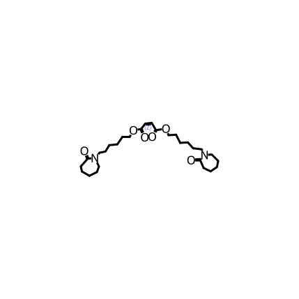 O=C(/C=C\C(=O)OCCCCCCN1CCCCCC1=O)OCCCCCCN1CCCCCC1=O